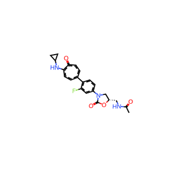 CC(=O)NC[C@H]1CN(c2ccc(-c3ccc(NC4CC4)c(=O)cc3)c(F)c2)C(=O)O1